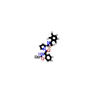 CC[C@@H](C)C(=O)N[C@H](C(=O)N1CCC[C@H]1c1nc(-c2c(C)ccc(C)c2C)cs1)C1CCCCC1